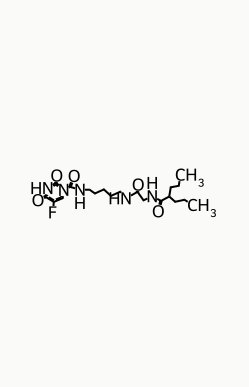 CCCC(CCC)C(=O)NCC(=O)NCCCCCNC(=O)n1cc(F)c(=O)[nH]c1=O